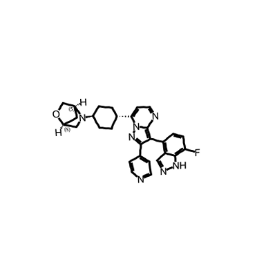 Fc1ccc(-c2c(-c3ccncc3)nn3c2nccc3[C@H]2CC[C@H](N3C[C@@H]4C[C@H]3CO4)CC2)c2cn[nH]c12